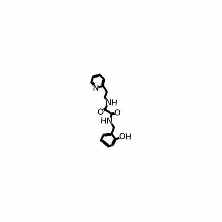 O=C(NCCc1ccccn1)C(=O)NCc1ccccc1O